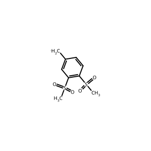 [CH2]c1ccc(S(C)(=O)=O)c(S(C)(=O)=O)c1